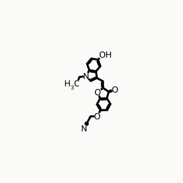 CCn1cc(/C=C2\Oc3cc(OCC#N)ccc3C2=O)c2cc(O)ccc21